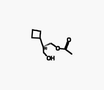 CC(=O)OC[C@H](CO)C1CCC1